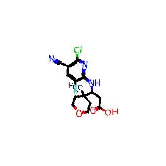 CC1(C(CC(=O)O)Nc2nc(Cl)c(C#N)cc2F)CCOCC1